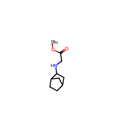 CC(C)(C)OC(=O)CNC1CC2CCC1C2